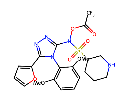 COc1cccc(OC)c1-n1c(-c2ccco2)nnc1N(OC(=O)C(F)(F)F)S(=O)(=O)[C@H]1CCCNC1